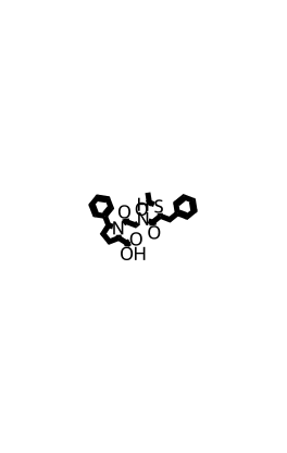 CC(=O)SC(Cc1ccccc1)C(=O)NCC(=O)N1C(C(=O)O)CCC1c1ccccc1